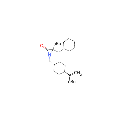 C=C(CCCC)[C@H]1CC[C@H](CN2C(=O)C2(CCCC)CC2CCCCC2)CC1